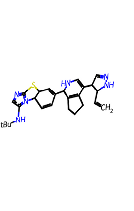 C=CC1NN=CC1C1=CNC(C2=CC3Sc4ncc(NC(C)(C)C)n4C3C=C2)C2=C1CCC2